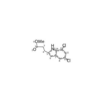 COC(=O)CCc1cc2cc(Cl)cc(Cl)c2[nH]1